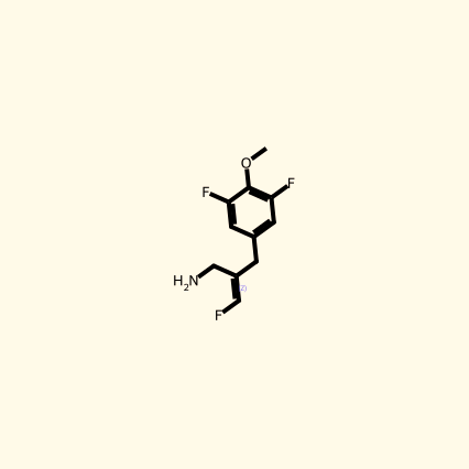 COc1c(F)cc(C/C(=C/F)CN)cc1F